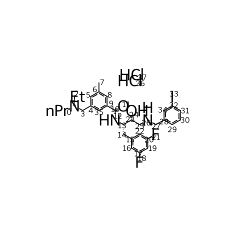 CCCN(CC)Cc1cc(C)cc(C(=O)N[C@@H](Cc2cc(F)cc(F)c2)[C@H](O)CNCc2cccc(I)c2)c1.Cl.Cl